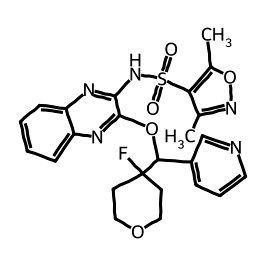 Cc1noc(C)c1S(=O)(=O)Nc1nc2ccccc2nc1OC(c1cccnc1)C1(F)CCOCC1